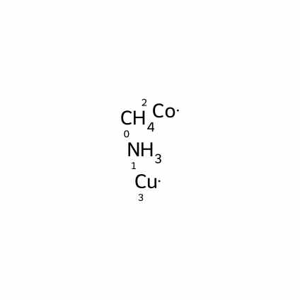 C.N.[Co].[Cu]